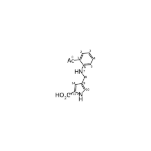 CC(=O)c1ccccc1NCc1c[nH]c(C(=O)O)c1